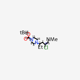 CCC(C/C(Cl)=C\NC)N1CCN(C(=O)OC(C)(C)C)CC1